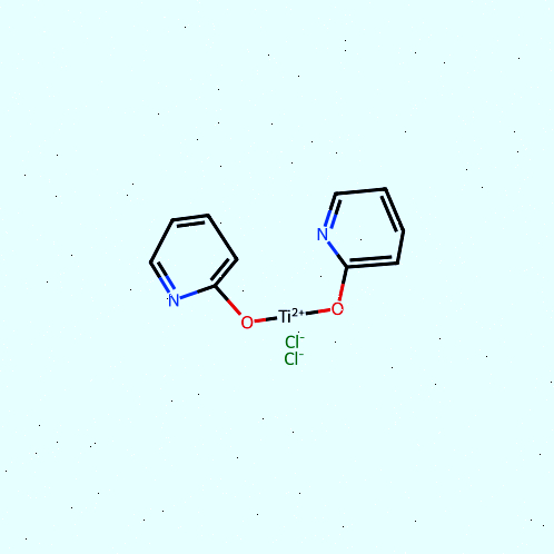 [Cl-].[Cl-].c1ccc([O][Ti+2][O]c2ccccn2)nc1